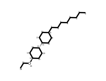 CCCCCCCCC1CCC([C@H]2CC[C@H](OCC)CC2)CC1